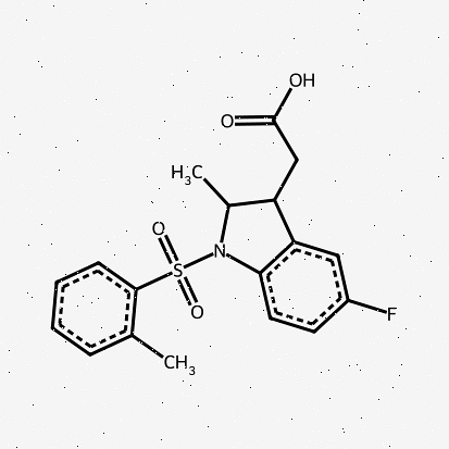 Cc1ccccc1S(=O)(=O)N1c2ccc(F)cc2C(CC(=O)O)C1C